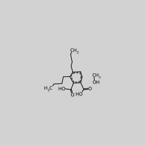 CCCCc1ccc(C(=O)O)c(C(=O)O)c1CCCC.CO